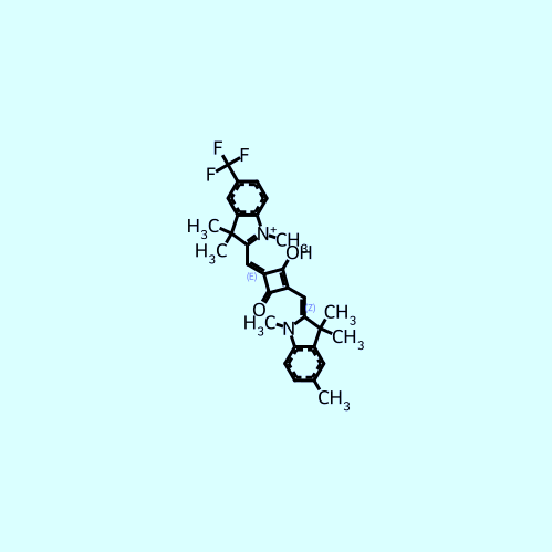 Cc1ccc2c(c1)C(C)(C)/C(=C/C1=C(O)C(=C\C3=[N+](C)c4ccc(C(F)(F)F)cc4C3(C)C)/C1=O)N2C